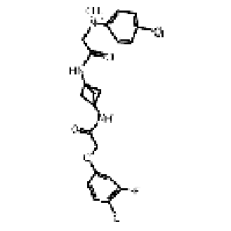 CN(CC(=O)NC12CC(NC(=O)COc3ccc(Cl)c(F)c3)(C1)C2)c1ccc(Cl)cc1